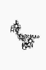 COc1ccc2ncc(Cl)c([C@H](F)CCC3(CO)CCN(CCNc4c(F)cc(F)cc4F)CC3)c2c1